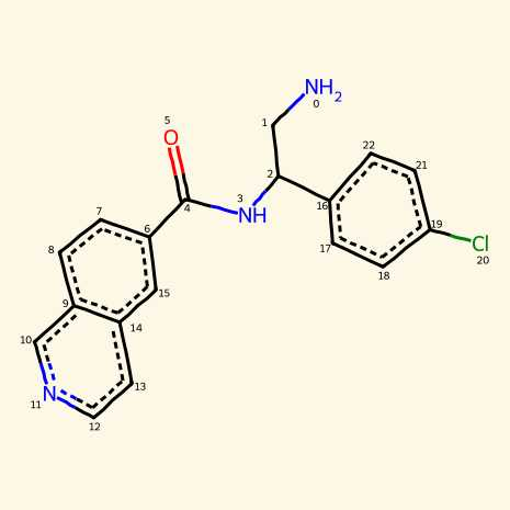 NCC(NC(=O)c1ccc2cnccc2c1)c1ccc(Cl)cc1